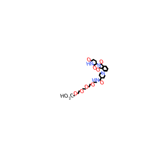 O=C(O)COCCOCCOCCOCCNC(=O)C1CCN(c2cccc3c2C(=O)N(C2CCC(=O)NC2=O)C3=O)CC1